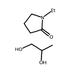 CC(O)CO.CCN1CCCC1=O